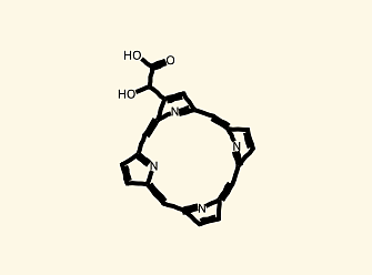 O=C(O)C(O)C1=CC2=NC1=CC1=NC(=CC3=NC(=CC4=NC(=C2)C=C4)C=C3)C=C1